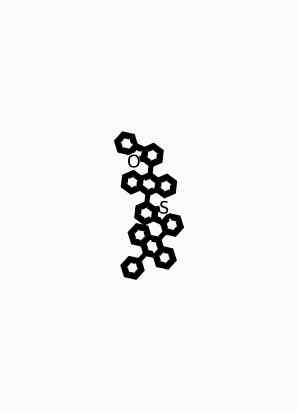 c1ccc(-c2c3ccccc3c(-c3cccc4sc5c(-c6c7ccccc7c(-c7cccc8c7oc7ccccc78)c7ccccc67)cccc5c34)c3ccccc23)cc1